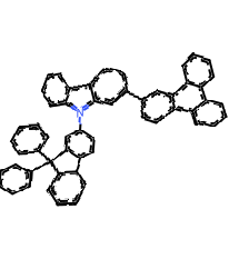 c1ccc(C2(c3ccccc3)c3ccccc3-c3ccc(-n4c5ccccc5c5ccc(-c6ccc7c8ccccc8c8ccccc8c7c6)cc54)cc32)cc1